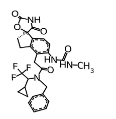 CNC(=O)Nc1ccc2c(c1CC(=O)N(Cc1ccccc1)C(C1CC1)C(F)(F)F)CC[C@@]21OC(=O)NC1=O